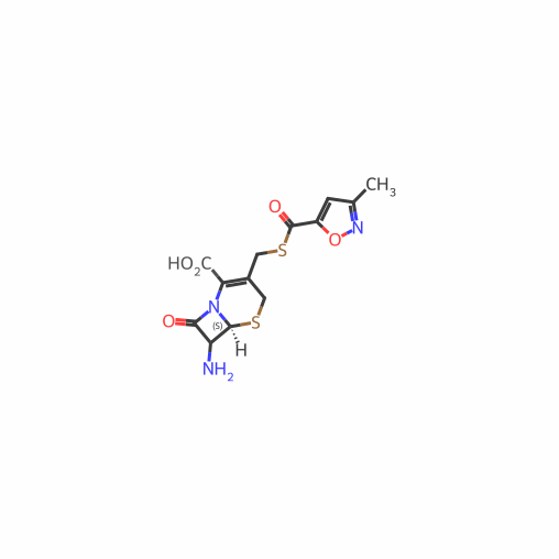 Cc1cc(C(=O)SCC2=C(C(=O)O)N3C(=O)C(N)[C@@H]3SC2)on1